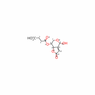 O=C(O)CCC(=O)OC1COC(O)C2=CC(=O)OC21